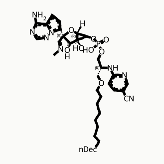 CCCCCCCCCCCCCCCCCCOC[C@H](COP(=O)(O)OC1[C@H]2O[C@@](C=NC)(c3ccc4c(N)ncnn34)[C@H](O)[C@@]12O)Nc1ccc(C#N)cn1